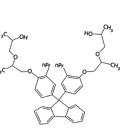 CCCc1cc(C2(c3ccc(OCC(C)OCC(C)O)c(CCC)c3)c3ccccc3-c3ccccc32)ccc1OCC(C)OCC(C)O